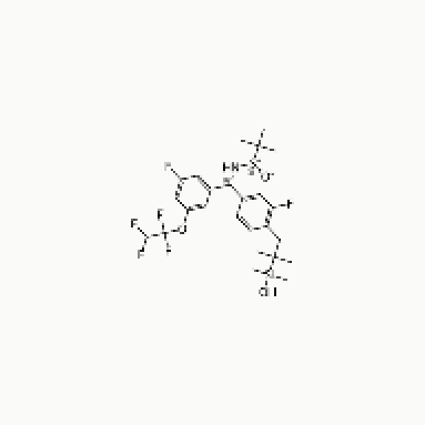 CC(C)(C)[S@@+]([O-])N[C@@H](c1cc(F)cc(OC(F)(F)C(F)F)c1)c1ccc(CC(C)(C)[Si](C)(C)O)c(F)c1